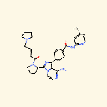 CCCc1ccnc(NC(=O)c2ccc(-c3nc(C4CCCN4C(=O)C=CCN4CCCC4)n4ccnc(N)c34)cc2)c1